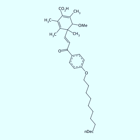 CCCCCCCCCCCCCCCCCCOc1ccc(C(=O)C=CC2(C)C(C)=C(C)C(C(=O)O)=C(C)C2OC)cc1